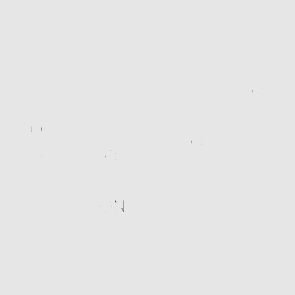 O=NCC(COCC1CO1)COCC1CO1